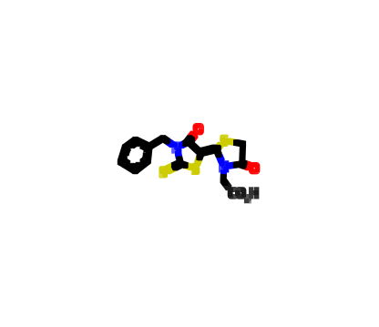 O=C(O)CN1C(=O)CS/C1=C1/SC(=S)N(Cc2ccccc2)C1=O